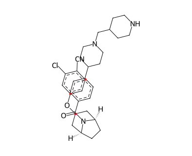 N#Cc1ccc(OC2C[C@H]3CC[C@@H](C2)N3C(=O)c2ccc(C3CCN(CC4CCNCC4)CC3)cc2)cc1Cl